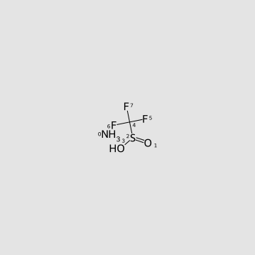 N.O=S(O)C(F)(F)F